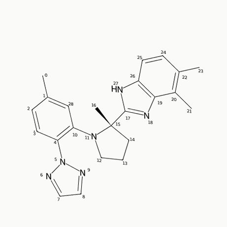 Cc1c[c]c(-n2nccn2)c(N2CCC[C@@]2(C)c2nc3c(C)c(C)ccc3[nH]2)c1